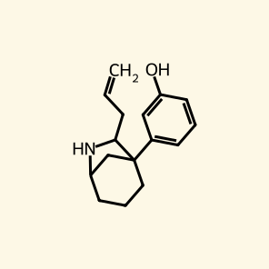 C=CCC1NC2CCCC1(c1cccc(O)c1)C2